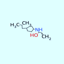 C=CC(O)NC1CCC(CC(C)C)CC1